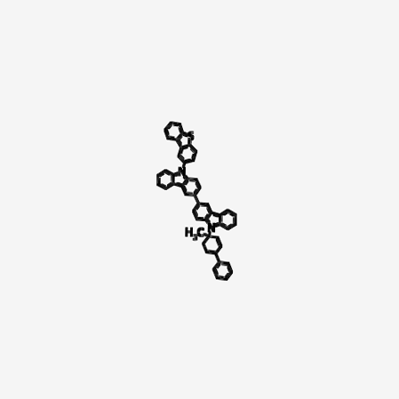 CC1(n2c3ccccc3c3cc(-c4ccc5c(c4)c4ccccc4n5-c4ccc5sc6ccccc6c5c4)ccc32)C=CC(c2ccccc2)=CC1